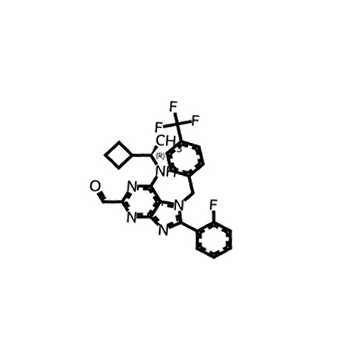 C[C@@H](Nc1nc(C=O)nc2nc(-c3ccccc3F)n(Cc3ccc(C(F)(F)F)cc3)c12)C1CCC1